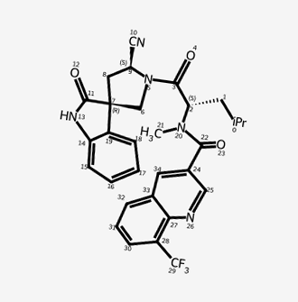 CC(C)C[C@@H](C(=O)N1C[C@]2(C[C@H]1C#N)C(=O)Nc1ccccc12)N(C)C(=O)c1cnc2c(C(F)(F)F)cccc2c1